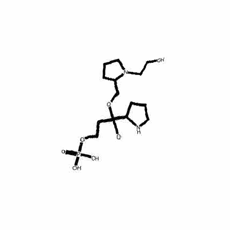 [O]C(CCOP(=O)(O)O)(OCC1CCCN1CCO)C1CCCN1